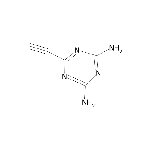 C#Cc1nc(N)nc(N)n1